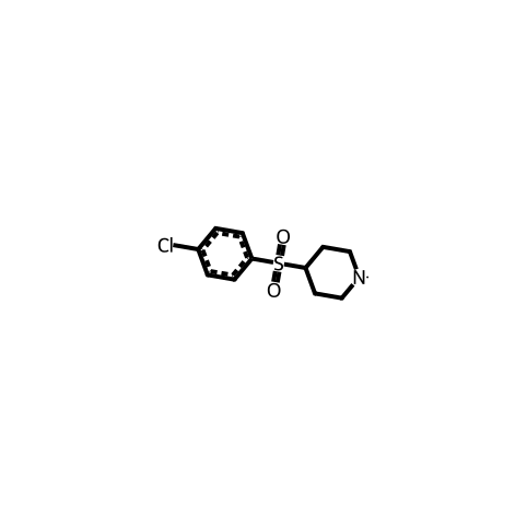 O=S(=O)(c1ccc(Cl)cc1)C1CC[N]CC1